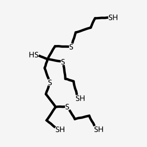 SCCCSCC(S)(CSCC(CS)SCCS)SCCS